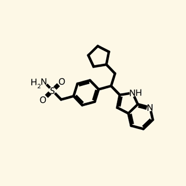 NS(=O)(=O)Cc1ccc(C(CC2CCCC2)c2cc3cccnc3[nH]2)cc1